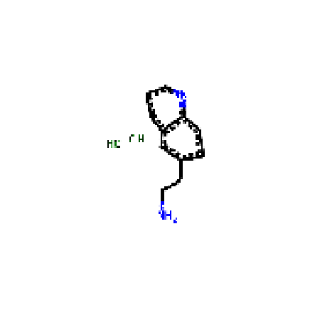 Cl.Cl.NCCc1ccc2ncccc2c1